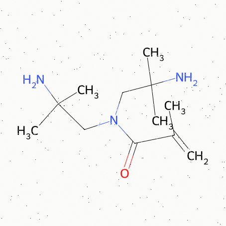 C=C(C)C(=O)N(CC(C)(C)N)CC(C)(C)N